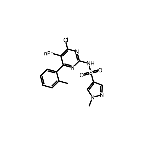 CCCc1c(Cl)nc(NS(=O)(=O)c2cnn(C)c2)nc1-c1ccccc1C